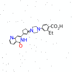 CCc1cc(N2CCN([C@H]3C=C(c4cc5ncccc5c(=O)[nH]4)CC3)CC2)ccc1C(=O)O